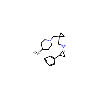 O=C(O)C1CCN(CC2(CN[C@H]3CC3c3ccccc3)CC2)CC1